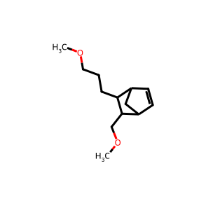 COCCCC1C2C=CC(C2)C1COC